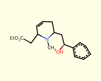 CCOC(=O)CC1C=CCC(C[C@H](O)c2ccccc2)N1C